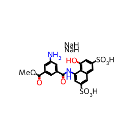 COC(=O)c1cc(N)cc(C(=O)Nc2cc(S(=O)(=O)O)cc3cc(S(=O)(=O)O)cc(O)c23)c1.[NaH].[NaH]